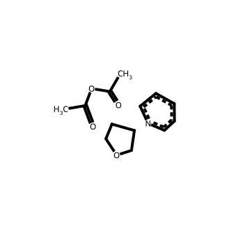 C1CCOC1.CC(=O)OC(C)=O.c1ccncc1